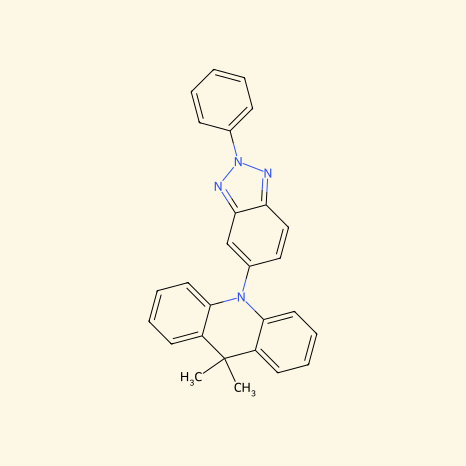 CC1(C)c2ccccc2N(c2ccc3nn(-c4ccccc4)nc3c2)c2ccccc21